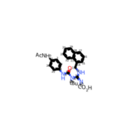 CC(=O)Nc1ccc(NC(=O)N(C(=NC(=O)O)NCc2cccc3ccccc23)C(C)(C)C)cc1